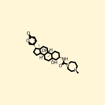 CN1CCCN(C(=O)N[C@H]2CC[C@]3(C)[C@H]4CC[C@]5(C)[C@@H](c6ccc(=O)oc6)CC[C@]5(O)[C@@H]4CC[C@]3(O)C2)CC1